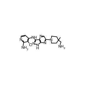 CC1(CN)CCN(c2cnc3c(Nc4ccnc(N)c4Cl)n[nH]c3n2)CC1